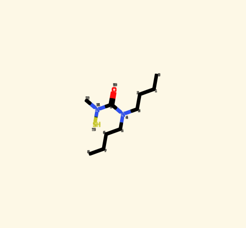 CCCCN(CCCC)C(=O)N(C)S